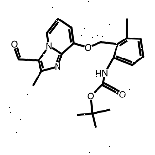 Cc1cccc(NC(=O)OC(C)(C)C)c1COc1cccn2c(C=O)c(C)nc12